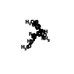 CCS(=O)(=O)N1CCC(c2c[nH]c3c(C(N)=O)cc(-c4cc(F)cc(CNCCOC)c4)cc23)CC1